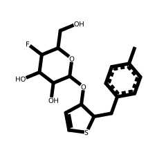 Cc1ccc(CC2SC=CC2OC2OC(CO)C(F)C(O)C2O)cc1